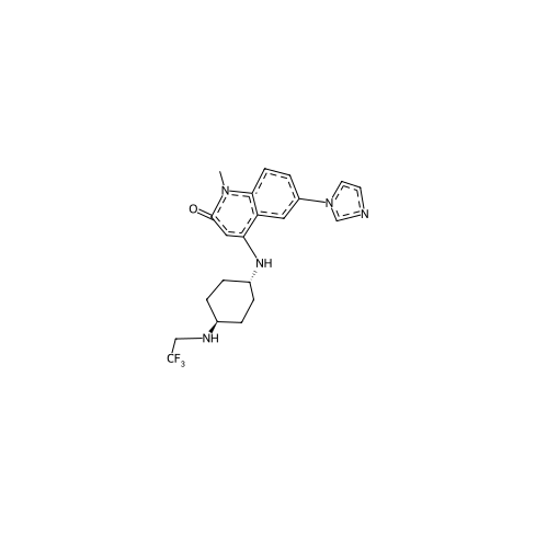 Cn1c(=O)cc(N[C@H]2CC[C@H](NCC(F)(F)F)CC2)c2cc(-n3ccnc3)ccc21